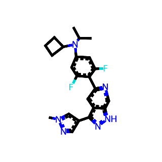 CC(C)N(c1cc(F)c(-c2cc3c(-c4cnn(C)c4)n[nH]c3cn2)c(F)c1)C1CCC1